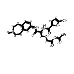 CC(C)C(=O)OC(=O)COCC(NC(=O)c1ccc(Cl)s1)C(=O)Nc1ccc2c(c1)CCN(C)CC2